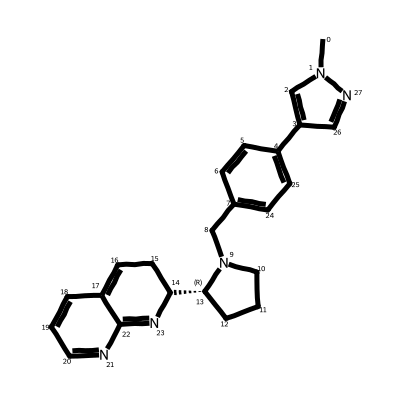 Cn1cc(-c2ccc(CN3CCC[C@@H]3C3CC=c4cccnc4=N3)cc2)cn1